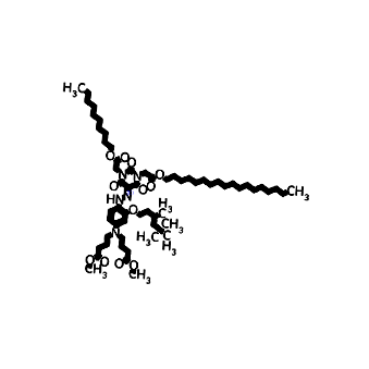 CCCCCCCCCCCCCCCCCCOC(=O)CN1C(=O)/C(=N/Nc2ccc(N(CCCC(=O)OC)CCCC(=O)OC)cc2OCCC(C)CC(C)(C)C)C(=O)N(CC(=O)OCCCCCCCCCC)C1=O